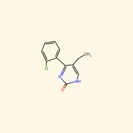 CCc1c[nH]c(=O)nc1-c1ccccc1Cl